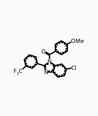 COc1ccc(C(=O)n2c(-c3cccc(C(F)(F)F)c3)nc3ccc(Cl)cc32)cc1